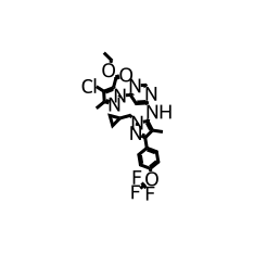 CCOC(=O)c1c(Cl)c(C)nn1-c1cc(Nc2c(C)c(-c3ccc(OC(F)(F)F)cc3)nn2CC2CC2)ncn1